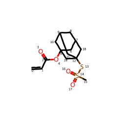 C=CC(=O)OC12CC3CC(C1)CC(SS(C)(=O)=O)(C3)C2